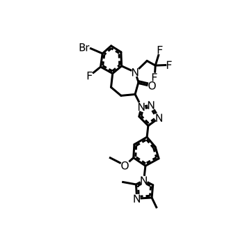 COc1cc(-c2cn(C3CCc4c(ccc(Br)c4F)N(CC(F)(F)F)C3=O)nn2)ccc1-n1cc(C)nc1C